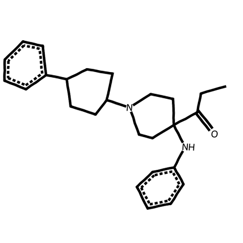 CCC(=O)C1(Nc2ccccc2)CCN(C2CCC(c3ccccc3)CC2)CC1